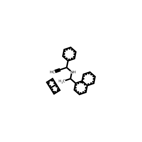 C#CC(NC(C)c1cccc2ccccc12)c1ccccc1.c1cc2ccc1-2